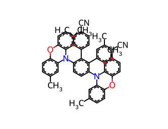 Cc1ccc2c(c1)N(c1ccc(N3c4cc(C)ccc4Oc4ccc(C)cc43)c(-c3ccc(C#N)c(C)c3)c1-c1ccc(C#N)c(C)c1)c1cc(C)ccc1O2